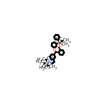 CC(C)[Si](C(C)C)(C(C)C)n1ccc2cc(C(=O)c3ccccc3CO[Si](c3ccccc3)(c3ccccc3)C(C)(C)C)ccc21